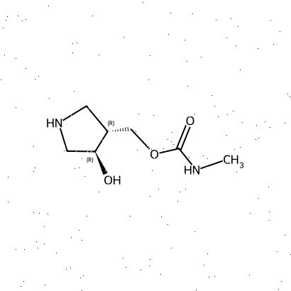 CNC(=O)OC[C@H]1CNC[C@@H]1O